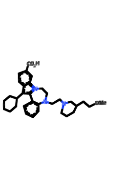 COCCC1CCCN(CCN2CCn3c(c(C4CCCCC4)c4ccc(C(=O)O)cc43)-c3ccccc32)C1